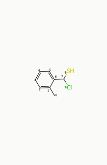 Cc1ccccc1C(S)Cl